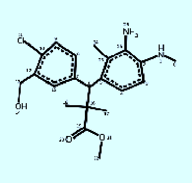 CNc1ccc(C(c2ccc(Cl)c(CO)c2)C(C)(C)C(=O)OC)c(C)c1N